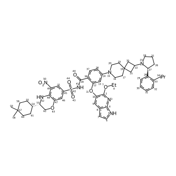 CCOc1nc2[nH]ccc2cc1Oc1cc(N2CCC3(CC2)CC(N2CCC[C@H]2c2ccccc2C(C)C)C3)ccc1C(=O)NS(=O)(=O)c1cc2c(c([N+](=O)[O-])c1)N[C@@H](C1CCC(C)(C)CC1)CO2